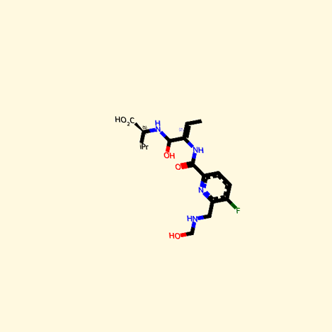 C/C=C(\NC(=O)c1ccc(F)c(CNCO)n1)C(O)N[C@H](C(=O)O)C(C)C